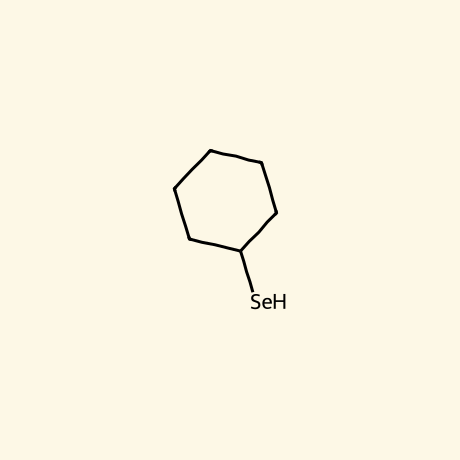 [SeH]C1CCCCC1